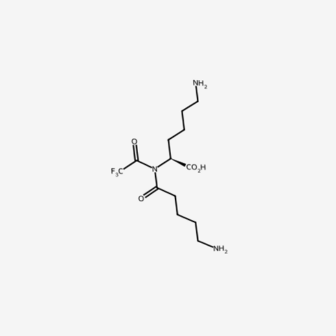 NCCCCC(=O)N(C(=O)C(F)(F)F)[C@@H](CCCCN)C(=O)O